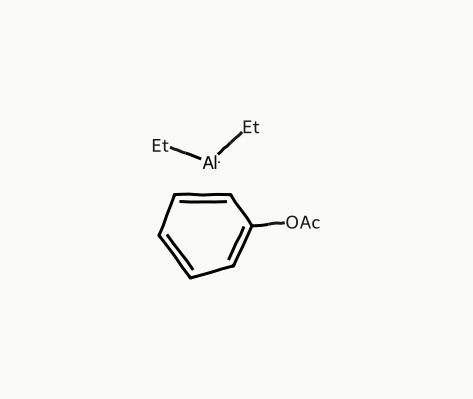 CC(=O)Oc1ccccc1.C[CH2][Al][CH2]C